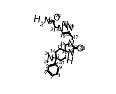 CN(C)[C@]1(c2ccccc2)CC[C@]2(CC1)CN(Cc1cn(CC(N)=O)nn1)C(=O)N2